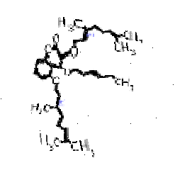 CCC=CCCOc1c(OC/C=C(\C)CCC=C(C)C)c(=O)oc2cccc(OC/C=C(\C)CCC=C(C)C)c12